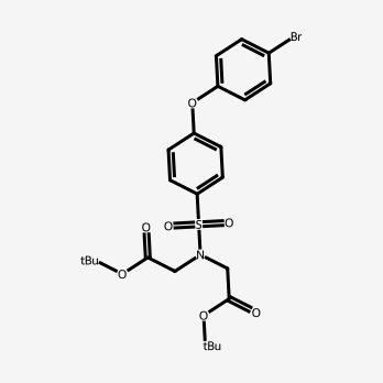 CC(C)(C)OC(=O)CN(CC(=O)OC(C)(C)C)S(=O)(=O)c1ccc(Oc2ccc(Br)cc2)cc1